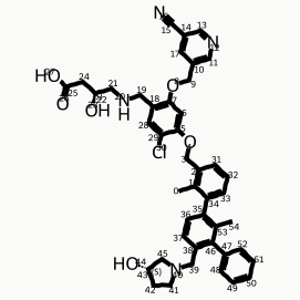 Cc1c(COc2cc(OCc3cncc(C#N)c3)c(CNC[C@@H](O)CC(=O)O)cc2Cl)cccc1-c1ccc(CN2CC[C@H](O)C2)c(-c2ccccc2)c1C